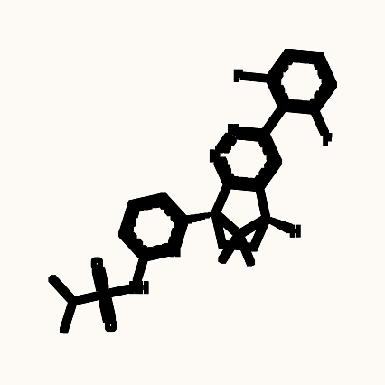 CC(C)S(=O)(=O)Nc1cccc([C@]23CC[C@@H](c4cc(-c5c(F)cccc5F)nnc42)C3(C)C)n1